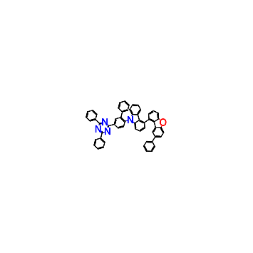 c1ccc(-c2ccc3oc4cccc(-c5cccc6c5c5ccccc5n6-c5ccc(-c6nc(-c7ccccc7)nc(-c7ccccc7)n6)cc5-c5ccccc5)c4c3c2)cc1